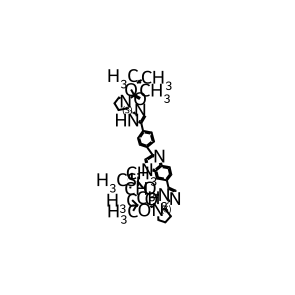 CC(C)(C)OC(=O)N1CCC[C@H]1c1ncc(-c2ccc(-c3cnc4cc(-c5cnc([C@@H]6CCCN6C(=O)OC(C)(C)C)n5COCC[Si](C)(C)C)ccc4n3)cc2)[nH]1